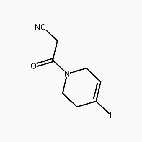 N#CCC(=O)N1CC=C(I)CC1